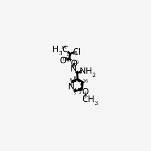 COc1cncc(/C(N)=N/OC(=O)C(C)Cl)c1